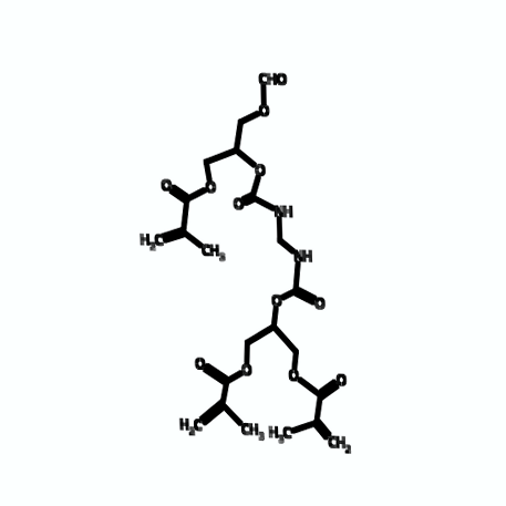 C=C(C)C(=O)OCC(COC=O)OC(=O)NCNC(=O)OC(COC(=O)C(=C)C)COC(=O)C(=C)C